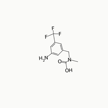 CN(Cc1cc(N)cc(C(F)(F)F)c1)C(=O)O